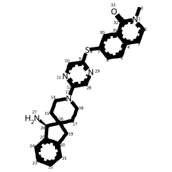 Cn1ccc2ccc(Sc3cnc(N4CCC5(CC4)Cc4ccccc4[C@H]5N)cn3)cc2c1=O